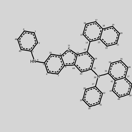 c1ccc(Nc2ccc3c(c2)sc2c(-c4cccc5ccccc45)cc(N(c4ccccc4)c4cccc5ccccc45)cc23)cc1